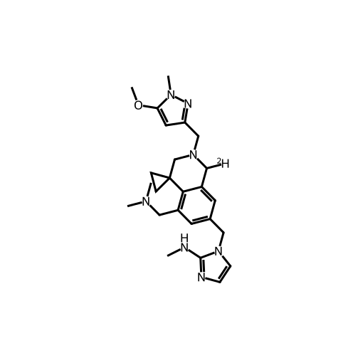 [2H]C1c2cc(Cn3ccnc3NC)cc(CN(C)C)c2C2(CC2)CN1Cc1cc(OC)n(C)n1